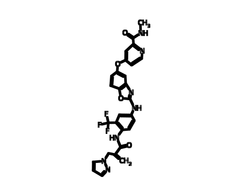 C=C(Cn1cccn1)C(=O)Nc1ccc(Nc2nc3cc(Oc4ccnc(C(=O)NC)c4)ccc3o2)cc1C(F)(F)F